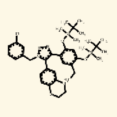 CCc1cc(-c2nnn(Cc3cccc(Cl)c3)c2-c2ccc3c(c2)OCCO3)c(O[Si](C)(C)C(C)(C)C)cc1O[Si](C)(C)C(C)(C)C